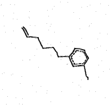 C=CCCCCc1cccc(I)c1